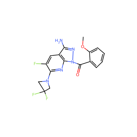 COc1ccccc1C(=O)n1nc(N)c2cc(F)c(N3CC(F)(F)C3)nc21